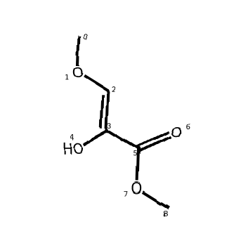 CO/C=C(\O)C(=O)OC